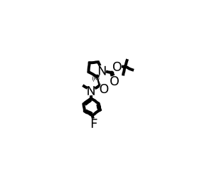 CN(C(=O)[C@H]1CCCN1C(=O)OC(C)(C)C)c1ccc(F)cc1